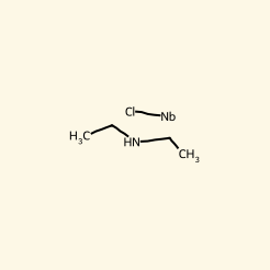 CCNCC.[Cl][Nb]